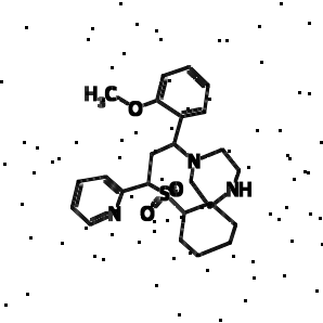 COc1ccccc1C(CC(c1ccccn1)S(=O)(=O)C1CCCCC1)N1CCNCC1